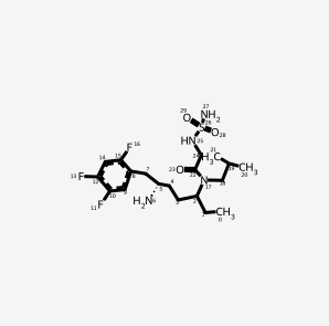 CCC(CC[C@H](N)Cc1cc(F)c(F)cc1F)N(CC(C)C)C(=O)CNS(N)(=O)=O